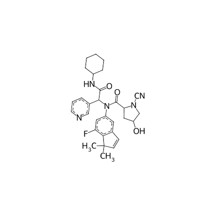 CC1(C)C=Cc2cc(N(C(=O)C3CC(O)CN3C#N)C(C(=O)NC3CCCCC3)c3cccnc3)cc(F)c21